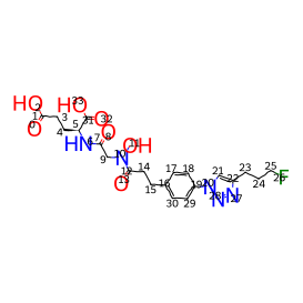 O=C(O)CC[C@H](NC(=O)CN(O)C(=O)CCc1ccc(-n2cc(CCCF)nn2)cc1)C(=O)O